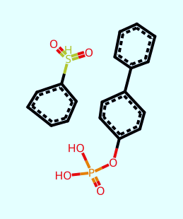 O=P(O)(O)Oc1ccc(-c2ccccc2)cc1.O=[SH](=O)c1ccccc1